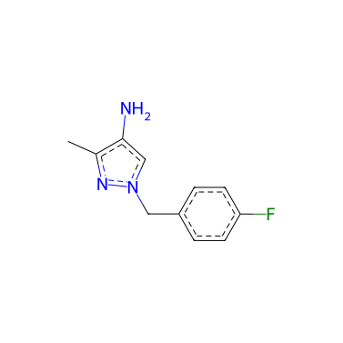 Cc1nn(Cc2ccc(F)cc2)cc1N